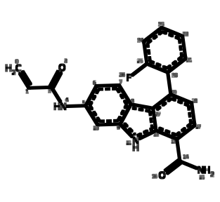 C=CC(=O)Nc1ccc2c(c1)[nH]c1c(C(N)=O)ccc(-c3ccccc3F)c12